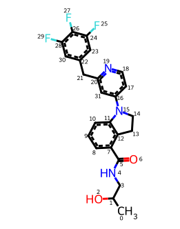 CC(O)CNC(=O)c1cccc2c1CCN2c1ccnc(Cc2cc(F)c(F)c(F)c2)c1